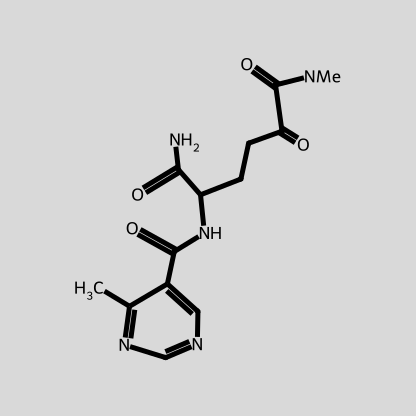 CNC(=O)C(=O)CCC(NC(=O)c1cncnc1C)C(N)=O